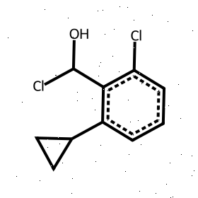 OC(Cl)c1c(Cl)cccc1C1CC1